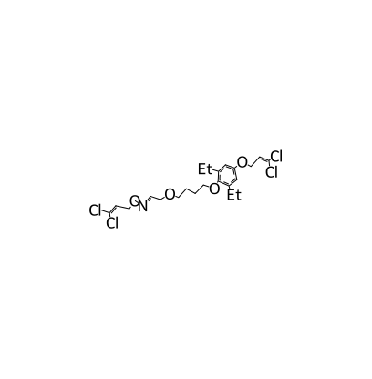 CCc1cc(OCC=C(Cl)Cl)cc(CC)c1OCCCCOCC=NOCC=C(Cl)Cl